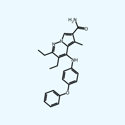 CCc1nn2cc(C(N)=O)c(C)c2c(Nc2ccc(Oc3ccccc3)cc2)c1CC